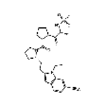 CCn1c(CC[C@@H]2CCCN2C(=O)[C@H]2CCCN2C(=O)[C@H](C)NS(C)(=O)=O)cc2ccc(C#N)cc21